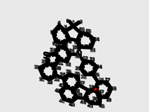 CC1(C)c2ccccc2-c2c(N(c3ccc(-c4ccccc4)cc3)c3ccc4sc5cccc(-c6ccc7c8c(cccc68)-c6ccccc6-7)c5c4c3)cccc21